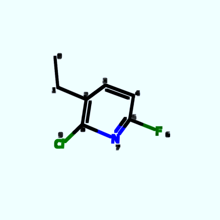 CCc1ccc(F)nc1Cl